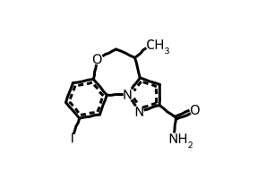 CC1COc2ccc(I)cc2-n2nc(C(N)=O)cc21